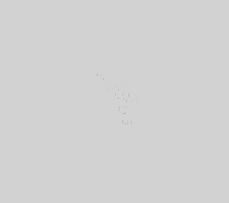 CC1(C(=O)N2CCC(O)(Cn3cnc4c(cc(Cl)n4-c4ccc([C@H]5CO[C@H](C6CC6)CN5)cc4)c3=O)CC2)CC1